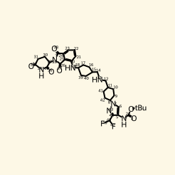 CC(C)(C)OC(=O)Nc1cn(C2CCC(CNCC3CCC(Nc4cccc5c4C(=O)N(C4CCC(=O)NC4=O)C5=O)CC3)CC2)nc1C(F)F